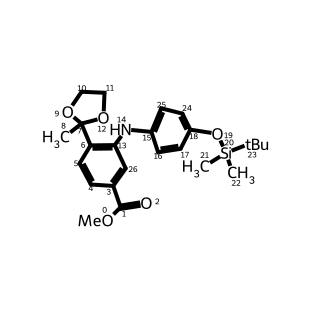 COC(=O)c1ccc(C2(C)OCCO2)c(Nc2ccc(O[Si](C)(C)C(C)(C)C)cc2)c1